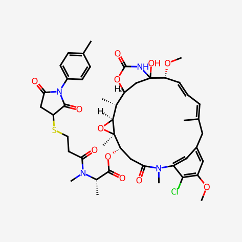 COc1cc2cc(c1Cl)N(C)C(=O)C[C@H](OC(=O)[C@H](C)N(C)C(=O)CCSC1CC(=O)N(c3ccc(C)cc3)C1=O)[C@@]1(C)O[C@H]1[C@H](C)[C@@H]1CC(O)(NC(=O)O1)[C@H](OC)/C=C/C=C(\C)C2